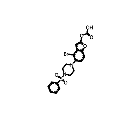 O=C(O)Oc1cc2c(Br)c(N3CCN(S(=O)(=O)c4ccccc4)CC3)ccc2o1